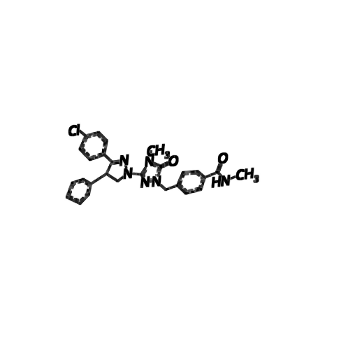 CNC(=O)c1ccc(Cn2nc(N3CC(c4ccccc4)C(c4ccc(Cl)cc4)=N3)n(C)c2=O)cc1